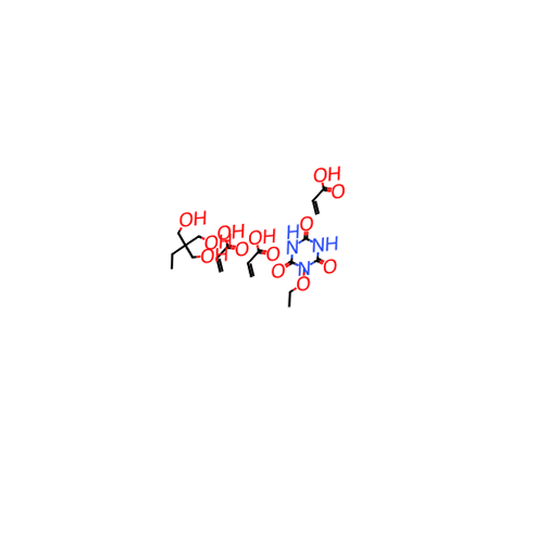 C=CC(=O)O.C=CC(=O)O.C=CC(=O)O.CCC(CO)(CO)CO.CCOn1c(=O)[nH]c(=O)[nH]c1=O